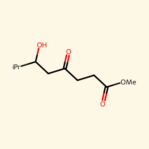 COC(=O)CCC(=O)CC(O)C(C)C